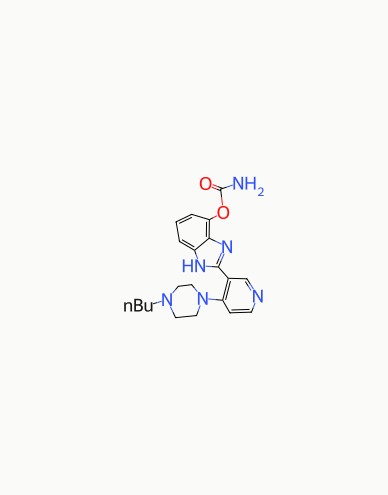 CCCCN1CCN(c2ccncc2-c2nc3c(OC(N)=O)cccc3[nH]2)CC1